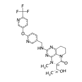 C[C@@H](O)[C@H]1C(=O)N2CCCc3nc(NCc4ccc(Oc5ccc(C(F)(F)F)nc5)nc4)nc(c32)N1C